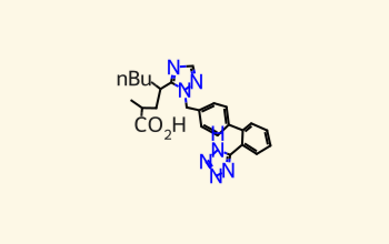 CCCCC(CC(C)C(=O)O)c1ncnn1Cc1ccc(-c2ccccc2-c2nnn[nH]2)cc1